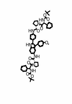 COc1ccc(-c2c(-c3ccc(NC(=O)[C@@H]4CCCN4C(=O)[C@H](NC(=O)OC(C)(C)C)c4ccccc4)cc3)[nH]c3ccc(NC(=O)[C@@H]4CCCN4C(=O)[C@H](NC(=O)OC(C)(C)C)c4ccccc4)cc23)cc1